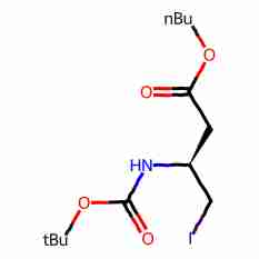 CCCCOC(=O)C[C@@H](CI)NC(=O)OC(C)(C)C